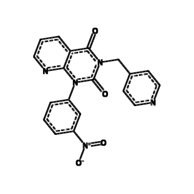 O=c1c2cccnc2n(-c2cccc([N+](=O)[O-])c2)c(=O)n1Cc1ccncc1